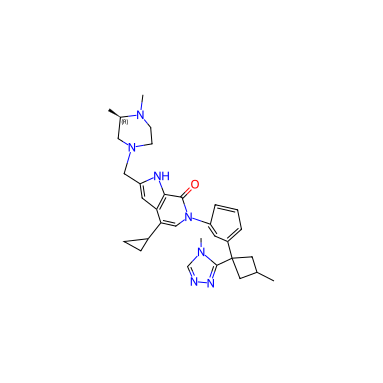 CC1CC(c2cccc(-n3cc(C4CC4)c4cc(CN5CCN(C)[C@H](C)C5)[nH]c4c3=O)c2)(c2nncn2C)C1